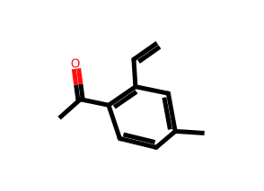 C=Cc1cc(C)ccc1C(C)=O